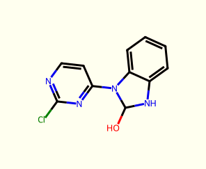 OC1Nc2ccccc2N1c1ccnc(Cl)n1